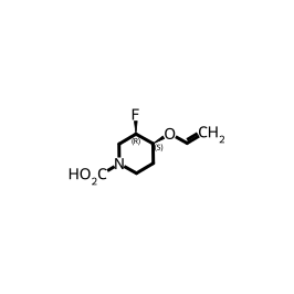 C=CO[C@H]1CCN(C(=O)O)C[C@H]1F